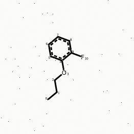 CCCOc1[c]cccc1F